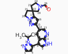 CC(C)n1nccc1-c1c[nH]c2ncc(-c3cc4n(n3)CCC43CCN(C=O)C3)cc12